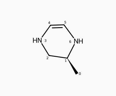 C[C@H]1CNC=CN1